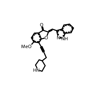 COc1ccc2c(c1C#CCC1CCNCC1)OC(=Cc1n[nH]c3ccccc13)C2=O